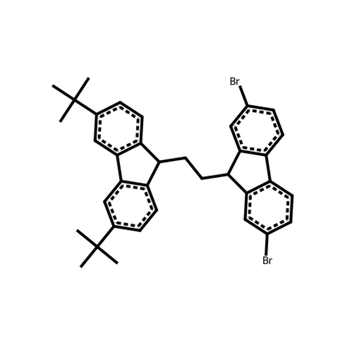 CC(C)(C)c1ccc2c(c1)-c1cc(C(C)(C)C)ccc1C2CCC1c2cc(Br)ccc2-c2ccc(Br)cc21